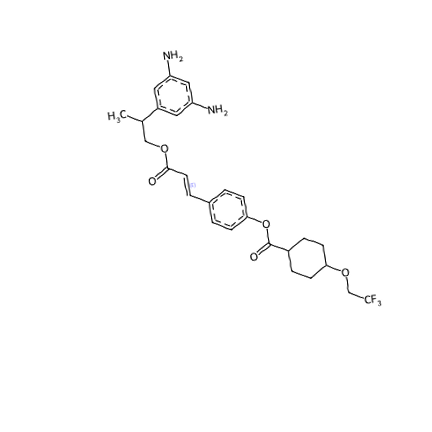 CC(COC(=O)/C=C/c1ccc(OC(=O)C2CCC(OCC(F)(F)F)CC2)cc1)c1cc(N)cc(N)c1